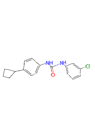 O=C(Nc1ccc(C2CCC2)cc1)Nc1cccc(Cl)c1